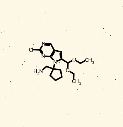 CCOC(OCC)c1cc2cnc(Cl)nc2n1C1(CN)CCCC1